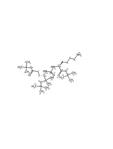 CC(C)(C)OC(=O)CC[C@H](NC(=O)N[C@@H](CCCCN)C(=O)OC(C)(C)C)C(C)(O)OC(C)(C)C